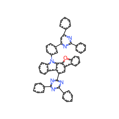 c1ccc(-c2cc(-c3cccc(-n4c5ccccc5c5c(-c6nc(-c7ccccc7)nc(-c7ccccc7)n6)cc6c7ccccc7oc6c54)c3)nc(-c3ccccc3)n2)cc1